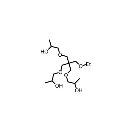 CCOCC(COCC(C)O)(COCC(C)O)COCC(C)O